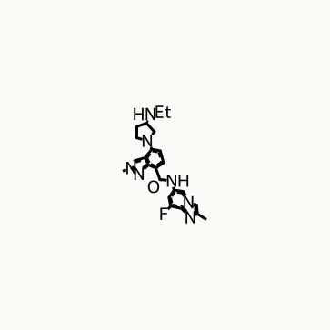 CCN[C@@H]1CCN(c2ccc(C(=O)Nc3cc(F)c4nc(C)cn4c3)c3nn(C)cc23)C1